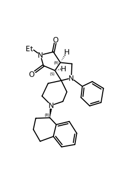 CCN1C(=O)[C@H]2CN(c3ccccc3)C3(CCN([C@@H]4CCCc5ccccc54)CC3)[C@H]2C1=O